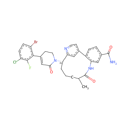 CC1CCC[C@H](N2CCC(c3c(Br)ccc(Cl)c3F)=CC2=O)c2cc(ccn2)-c2ccc(C(N)=O)cc2NC1=O